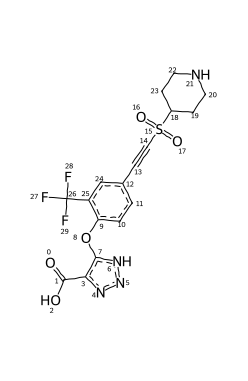 O=C(O)c1nn[nH]c1Oc1ccc(C#CS(=O)(=O)C2CCNCC2)cc1C(F)(F)F